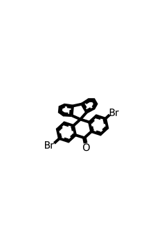 O=C1c2cc(Br)ccc2C2(c3cc(Br)ccc31)c1ccccc1-c1ccccc12